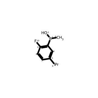 CB(O)c1cc(C(C)C)ccc1F